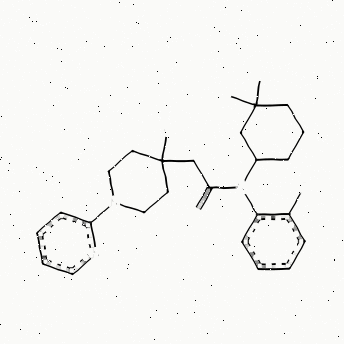 O=C(CC1(C(=O)O)CCN(c2ccccn2)CC1)N(c1ccccc1F)C1CCCC(F)(F)C1